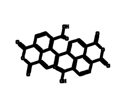 O=C1OC(=O)c2ccc(-c3ccc4c5c(ccc(C(=O)O)c35)C(=O)OC4=O)c3c(C(=O)O)ccc1c23